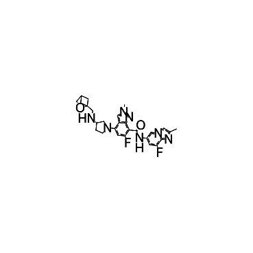 Cc1cn2cc(NC(=O)c3c(F)cc(N4CC[C@H](NCC56CC(CO5)C6)C4)c4cn(C)nc34)cc(F)c2n1